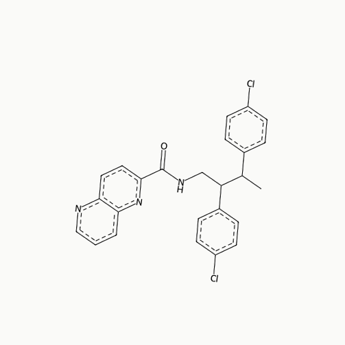 CC(c1ccc(Cl)cc1)C(CNC(=O)c1ccc2ncccc2n1)c1ccc(Cl)cc1